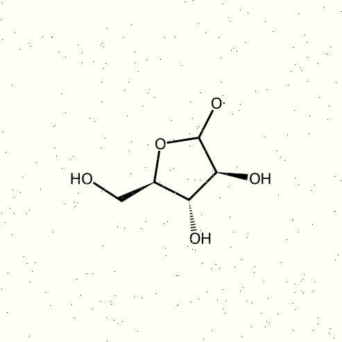 [O]C1O[C@H](CO)[C@@H](O)[C@@H]1O